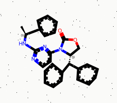 C[C@H](Nc1nccc(N2C(=O)OC[C@@H]2C(c2ccccc2)c2ccccc2)n1)c1ccccc1